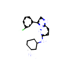 N[C@@H]1CCCC(Nc2ccc3ncc(-c4cccc(Cl)c4)n3n2)C1